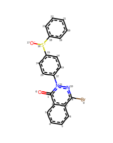 O=c1c2ccccc2c(Br)nn1-c1ccc([S+]([O-])c2ccccc2)cc1